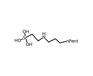 CCCCCCCCNCC[Si](O)(O)O